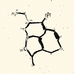 CCCC1=C2C=COCC3=C2B(OC3C)O[C@@H]1CN